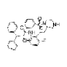 O=C(Nc1cccc(F)c1CCC1CNCCN1S(=O)(=O)c1ccccc1)C(O)C(c1ccccc1)c1ccccc1